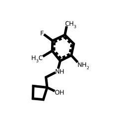 Cc1cc(N)c(NCC2(O)CCC2)c(C)c1F